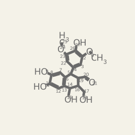 COc1cc(C2c3cc(O)c(O)cc3C(O)C(CO)C2C=O)cc(OC)c1O